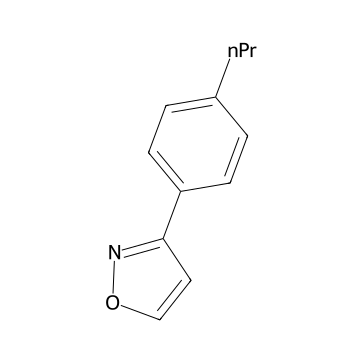 CCCc1ccc(-c2ccon2)cc1